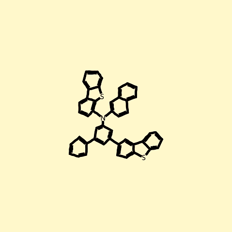 c1ccc(-c2cc(-c3ccc4sc5ccccc5c4c3)cc(N(c3ccc4ccccc4c3)c3cccc4c3sc3ccccc34)c2)cc1